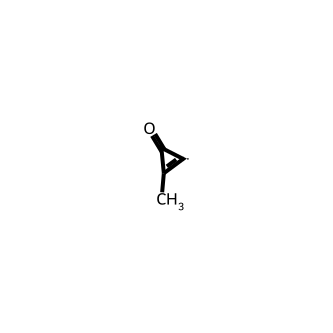 Cc1[c]c1=O